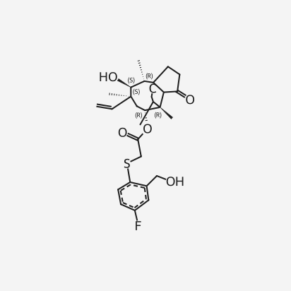 C=C[C@]1(C)C[C@@H](OC(=O)CSc2ccc(F)cc2CO)[C@]2(C)C(C)CCC3(CCC(=O)C32)[C@@H](C)[C@@H]1O